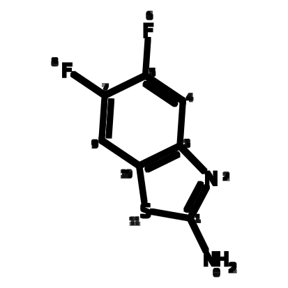 Nc1nc2cc(F)c(F)cc2s1